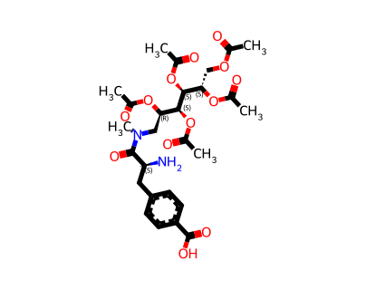 CC(=O)OC[C@H](OC(C)=O)[C@H](OC(C)=O)[C@@H](OC(C)=O)[C@@H](CN(C)C(=O)[C@@H](N)Cc1ccc(C(=O)O)cc1)OC(C)=O